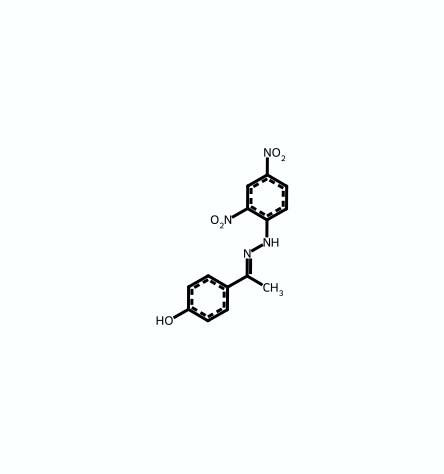 C/C(=N\Nc1ccc([N+](=O)[O-])cc1[N+](=O)[O-])c1ccc(O)cc1